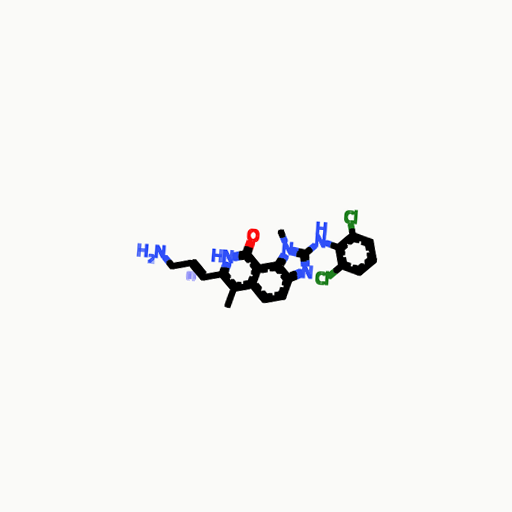 Cc1c(/C=C/CN)[nH]c(=O)c2c1ccc1nc(Nc3c(Cl)cccc3Cl)n(C)c12